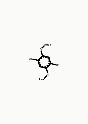 CCCCCCOc1cc(C(C)=O)c(OCCCCCC)cc1Br